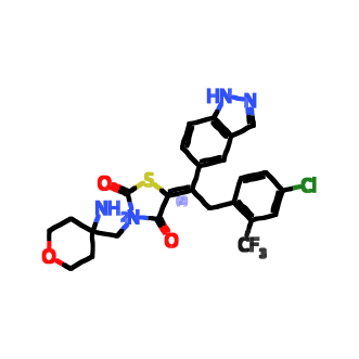 NC1(CN2C(=O)S/C(=C(/Cc3ccc(Cl)cc3C(F)(F)F)c3ccc4[nH]ncc4c3)C2=O)CCOCC1